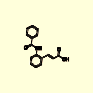 O=C(O)C=Cc1ccccc1NC(=O)c1ccccc1